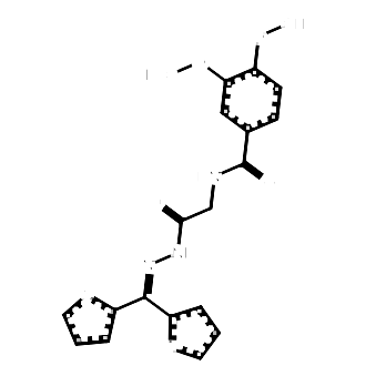 COc1ccc(C(=O)NCC(=O)NN=C(c2cccs2)c2cccs2)cc1OC